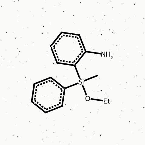 CCO[Si](C)(c1ccccc1)c1ccccc1N